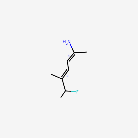 C/C(N)=C\C=C(/C)C(C)F